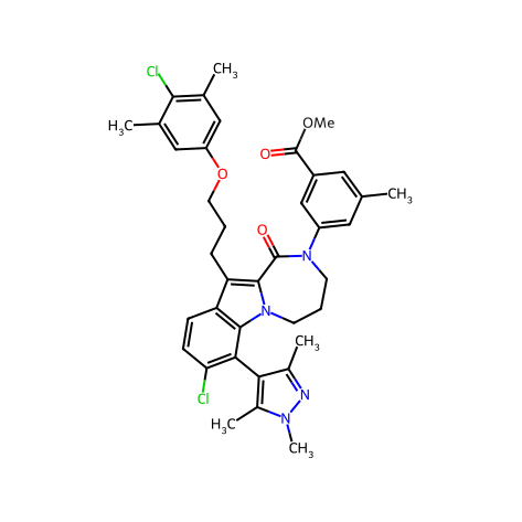 COC(=O)c1cc(C)cc(N2CCCn3c(c(CCCOc4cc(C)c(Cl)c(C)c4)c4ccc(Cl)c(-c5c(C)nn(C)c5C)c43)C2=O)c1